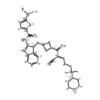 CC(C)(CC/C=C(\C#N)C(=O)N1CC(Cn2c(NC(=O)c3ccc(C(F)F)s3)nc3ccccc32)C1)N1CCOCC1